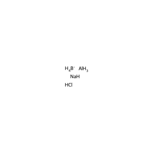 Cl.[AlH3].[BH4-].[NaH]